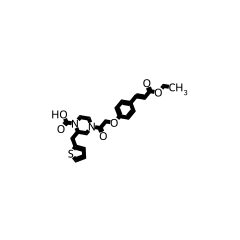 CCOC(=O)C=Cc1ccc(OCC(=O)N2CCN(C(=O)O)C(Cc3cccs3)C2)cc1